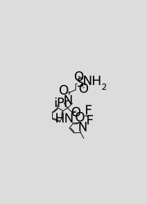 Cc1ccc(NC(=O)C2(c3ccccc3C(C)C)CN(C(=O)CCS(N)(=O)=O)C2)c(OC(F)F)n1